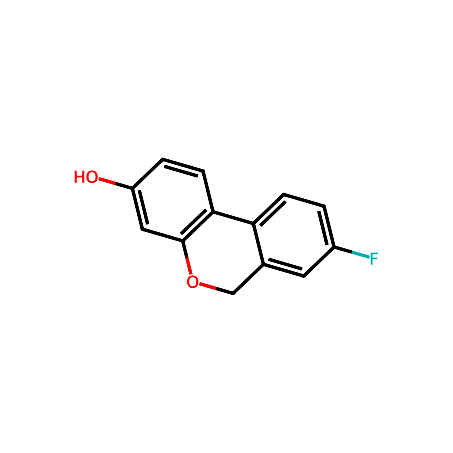 Oc1ccc2c(c1)OCc1cc(F)ccc1-2